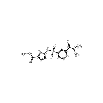 COC(=O)c1ccc(NS(=O)(=O)c2cccc(C(=O)N(C)C)c2)s1